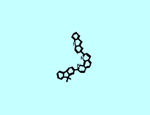 CC1(C)c2ccccc2-c2ccc(-c3ccc4ccc5ccc(-c6ccc7nc8ccccc8cc7c6)nc5c4n3)cc21